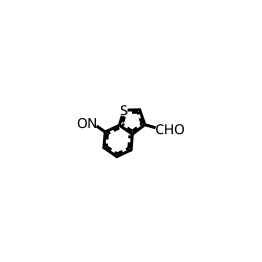 O=Cc1csc2c(N=O)cccc12